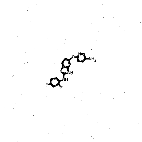 Nc1ccc(Oc2ccc3nc(Nc4ccc(F)cc4F)[nH]c3c2)nc1